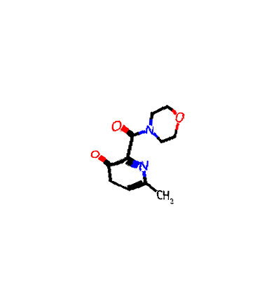 CC1=CCC(=O)C(C(=O)N2CCOCC2)=N1